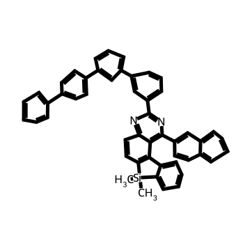 C[Si]1(C)c2ccccc2-c2c1ccc1nc(-c3cccc(-c4cccc(-c5ccc(-c6ccccc6)cc5)c4)c3)nc(-c3ccc4ccccc4c3)c21